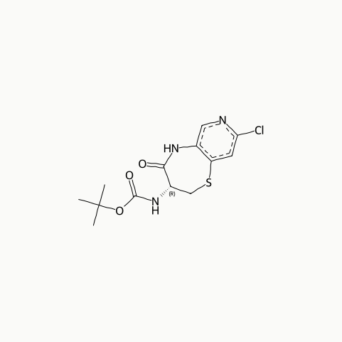 CC(C)(C)OC(=O)N[C@H]1CSc2cc(Cl)ncc2NC1=O